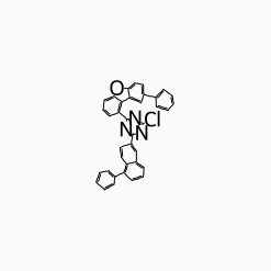 Clc1nc(-c2ccc3c(-c4ccccc4)cccc3c2)nc(-c2cccc3oc4ccc(-c5ccccc5)cc4c23)n1